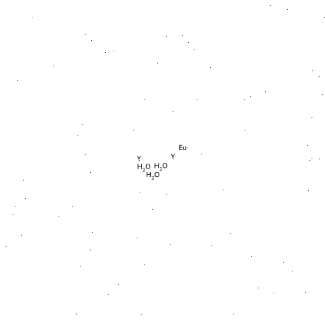 O.O.O.[Eu].[Y].[Y]